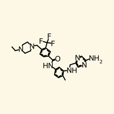 CCN1CCN(Cc2ccc(C(=O)Nc3ccc(C)c(NCc4cnc(N)cn4)c3)cc2C(F)(F)F)CC1